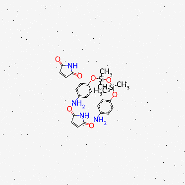 C[Si](C)(Oc1ccc(N)cc1)O[Si](C)(C)Oc1ccc(N)cc1.O=C1C=CC(=O)N1.O=C1C=CC(=O)N1